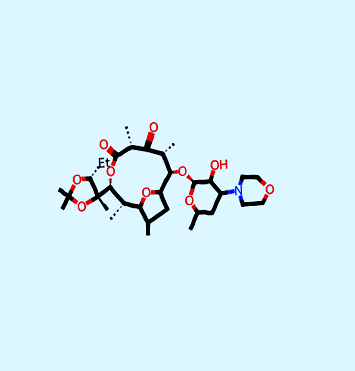 CC[C@H]1OC(C)(C)O[C@@]1(C)[C@@H]1OC(=O)[C@H](C)C(=O)[C@H](C)[C@@H](O[C@@H]2OC(C)CC(N3CCOCC3)C2O)[C@@]2(C)CC(C)C(O2)[C@@H]1C